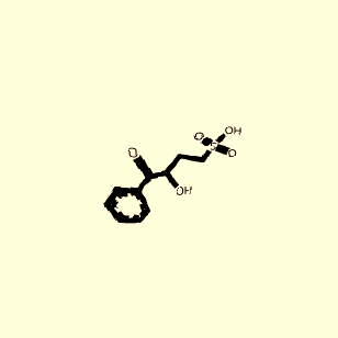 O=C(c1ccccc1)C(O)CCS(=O)(=O)O